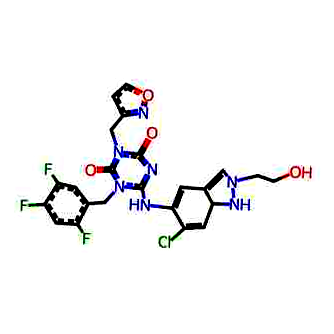 O=c1nc(NC2=CC3=CN(CCO)NC3C=C2Cl)n(Cc2cc(F)c(F)cc2F)c(=O)n1Cc1ccon1